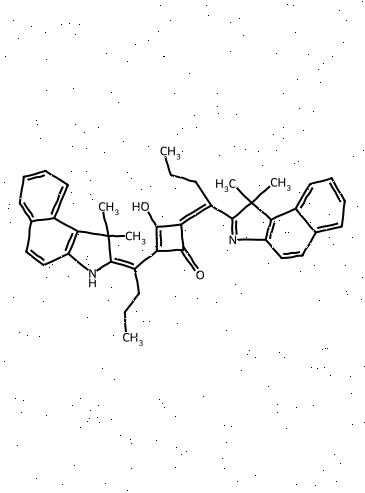 CCC/C(C1=Nc2ccc3ccccc3c2C1(C)C)=C1/C(=O)C(C(/CCC)=C2/Nc3ccc4ccccc4c3C2(C)C)=C1O